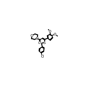 COc1ccc(C(=CC(=O)N2CCOCC2)SCc2ccc(Cl)cc2)cc1OC